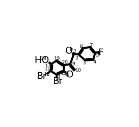 O=C(c1ccc(F)cc1)c1coc2c(Br)c(Br)c(O)cc12